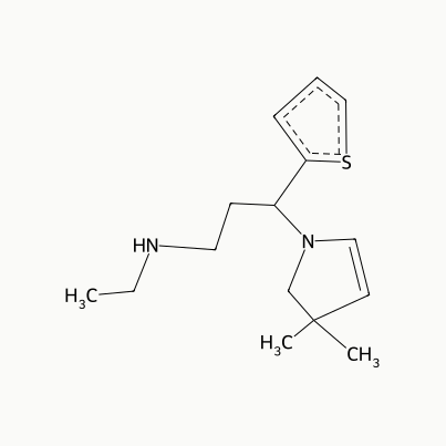 CCNCCC(c1cccs1)N1C=CC(C)(C)C1